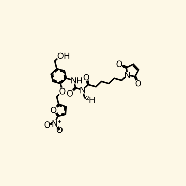 [2H]CN(C(=O)CCCCCN1C(=O)C=CC1=O)C(=O)Nc1cc(CO)ccc1OCc1ccc([N+](=O)[O-])o1